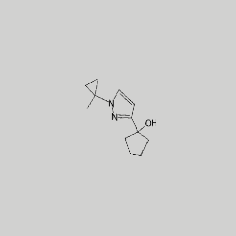 CC1(n2ccc(C3(O)CCCC3)n2)CC1